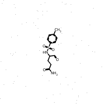 Cc1ccc(S(=O)(=O)NC(C=O)CCC(N)=O)cc1